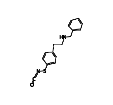 O=C=NSc1ccc(CCNCc2ccccc2)cc1